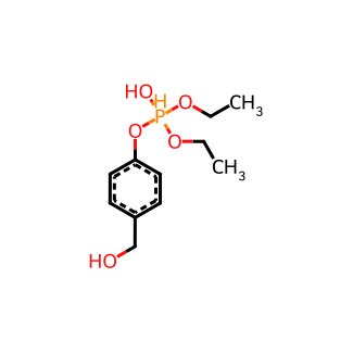 CCO[PH](O)(OCC)Oc1ccc(CO)cc1